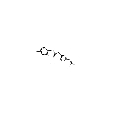 Cl.NC(N)=Nc1nc(CC(=O)Nc2ccc(Cl)cc2)cs1